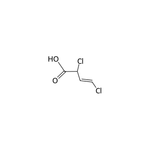 O=C(O)C(Cl)C=CCl